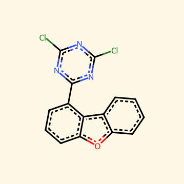 Clc1nc(Cl)nc(-c2cccc3oc4ccccc4c23)n1